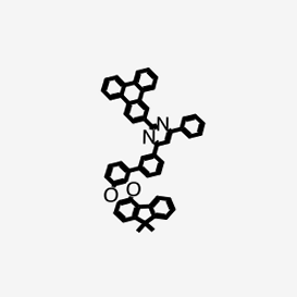 CC1(C)c2ccccc2-c2c1ccc1c2Oc2c(cccc2-c2cccc(-c3cc(-c4ccccc4)nc(-c4ccc5c6ccccc6c6ccccc6c5c4)n3)c2)O1